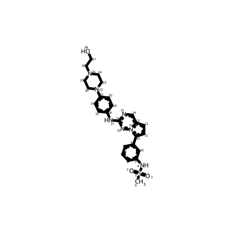 CS(=O)(=O)Nc1cccc(-c2ccc3cnc(Nc4ccc(N5CCN(CCO)CC5)cc4)nn23)c1